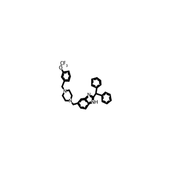 FC(F)(F)Oc1cccc(CN2CCN(Cc3ccc4[nH]c(C(c5ccccc5)c5ccccc5)nc4c3)CC2)c1